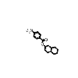 O=C(OC1CCC2CCCCC2C1)c1ccc([N+](=O)[O-])cc1